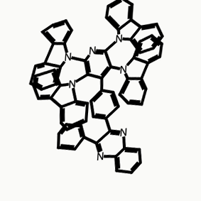 c1ccc(-c2nc3ccccc3nc2-c2ccc(-c3c(-n4c5ccccc5c5ccccc54)c(-n4c5ccccc5c5ccccc54)nc(-n4c5ccccc5c5ccccc54)c3-n3c4ccccc4c4ccccc43)cc2)cc1